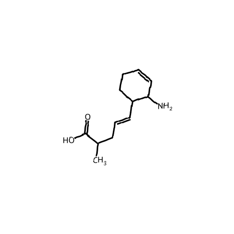 CC(C/C=C/C1CCC=CC1N)C(=O)O